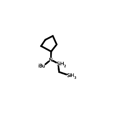 CCC(C)N([SiH2]C[SiH3])C1CCCC1